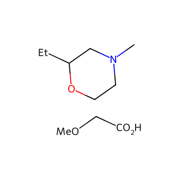 CCC1CN(C)CCO1.COCC(=O)O